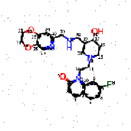 O=c1ccc2ccc(F)cc2n1CCN1CC[C@@H](O)C(CNCc2cc3c(cn2)OCCO3)C1